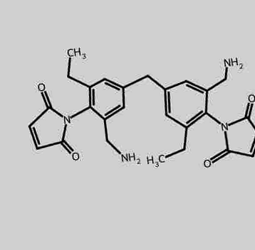 CCc1cc(Cc2cc(CC)c(N3C(=O)C=CC3=O)c(CN)c2)cc(CN)c1N1C(=O)C=CC1=O